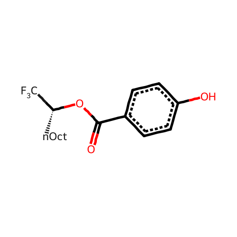 CCCCCCCC[C@@H](OC(=O)c1ccc(O)cc1)C(F)(F)F